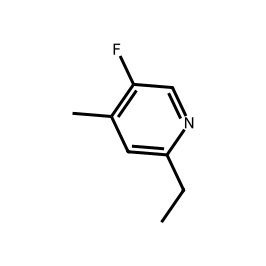 CCc1cc(C)c(F)cn1